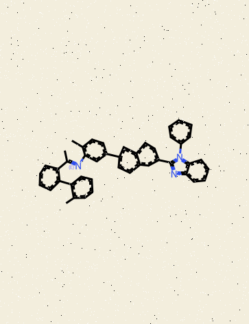 C/C(=N\c1cc(-c2ccc3cc(-c4nc5ccccc5n4-c4ccccc4)ccc3c2)ccc1C)c1ccccc1-c1ccccc1C